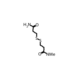 CNC(=O)CCSSCCC(N)=O